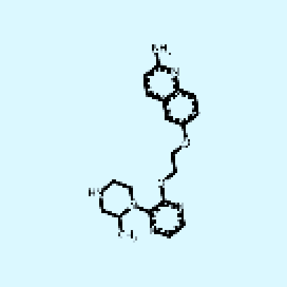 CC1CNCCN1c1nccnc1OCCOc1ccc2nc(N)ccc2c1